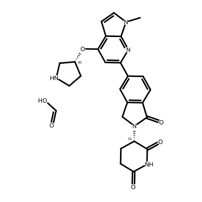 Cn1ccc2c(O[C@@H]3CCNC3)cc(-c3ccc4c(c3)CN([C@H]3CCC(=O)NC3=O)C4=O)nc21.O=CO